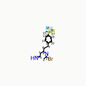 C/C(Br)=N\C(CC=N)CCc1ccc([SH](C)(F)(F)F)cc1